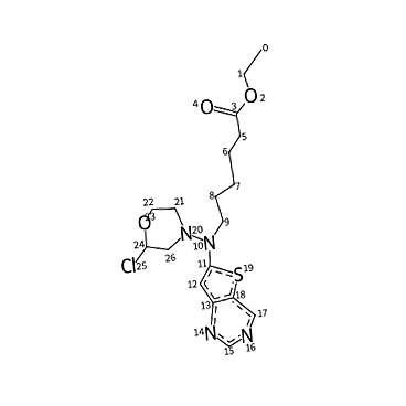 CCOC(=O)CCCCCN(c1cc2ncncc2s1)N1CCOC(Cl)C1